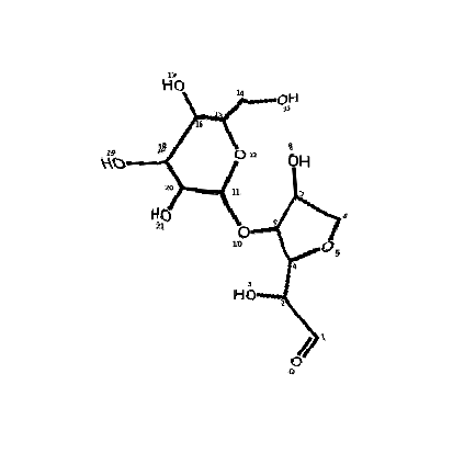 O=CC(O)C1OCC(O)C1OC1OC(CO)C(O)C(O)C1O